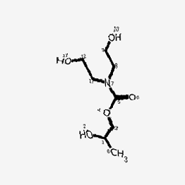 CC(O)COC(=O)N(CCO)CCO